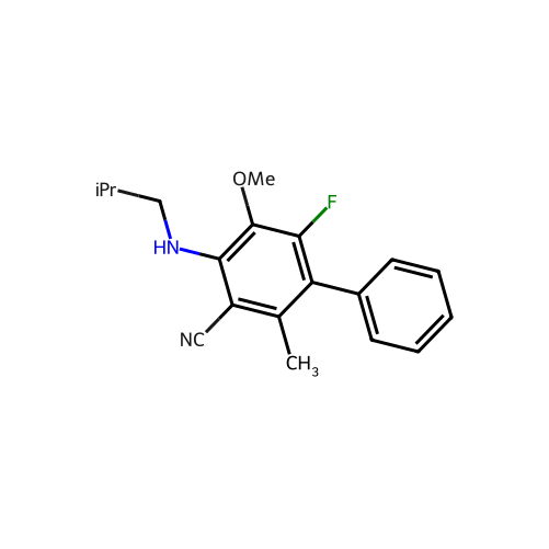 COc1c(F)c(-c2ccccc2)c(C)c(C#N)c1NCC(C)C